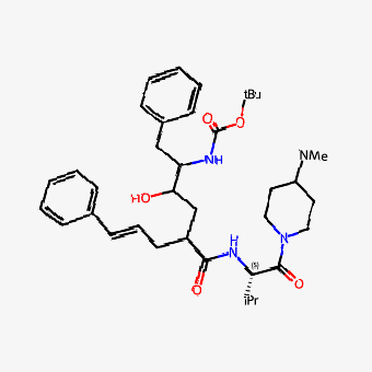 CNC1CCN(C(=O)[C@@H](NC(=O)C(CC=Cc2ccccc2)CC(O)C(Cc2ccccc2)NC(=O)OC(C)(C)C)C(C)C)CC1